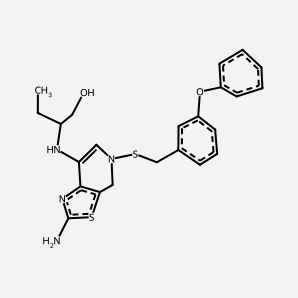 CCC(CO)NC1=CN(SCc2cccc(Oc3ccccc3)c2)Cc2sc(N)nc21